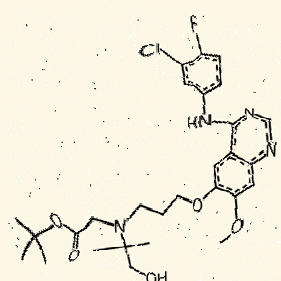 COc1cc2ncnc(Nc3ccc(F)c(Cl)c3)c2cc1OCCCN(CC(=O)OC(C)(C)C)C(C)(C)CO